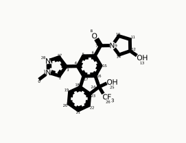 Cn1cc(-c2cc(C(=O)N3CCC(O)C3)cc3c2-c2ccccc2C3(O)C(F)(F)F)cn1